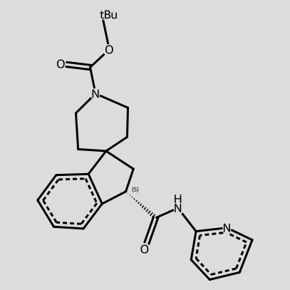 CC(C)(C)OC(=O)N1CCC2(CC1)C[C@H](C(=O)Nc1ccccn1)c1ccccc12